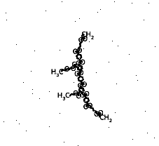 C=CC(=O)OCCCCOC(=O)C1CCC(C(=O)Oc2ccc(OC(=O)C3CCC(C(=O)Oc4ccc(OC(=O)C5CCC(C(=O)OCCCCOC(=O)C=C)CC5)c(C(=O)OCCOCCC)c4)CC3)cc2C(=O)OCCCC)CC1